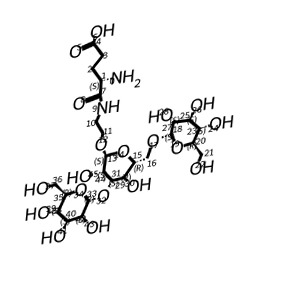 N[C@@H](CCC(=O)O)C(=O)NCCO[C@H]1O[C@H](CO[C@H]2O[C@H](CO)[C@@H](O)[C@H](O)[C@@H]2O)[C@@H](O)[C@H](O[C@H]2O[C@H](CO)[C@@H](O)[C@H](O)[C@@H]2O)[C@@H]1O